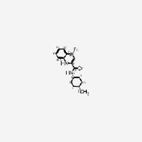 C[C@H]1CC[C@H](NC(=O)C2=CN(F)c3ccccc3N2)CC1